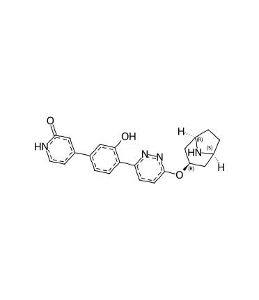 O=c1cc(-c2ccc(-c3ccc(O[C@H]4C[C@H]5CC[C@@H](C4)N5)nn3)c(O)c2)cc[nH]1